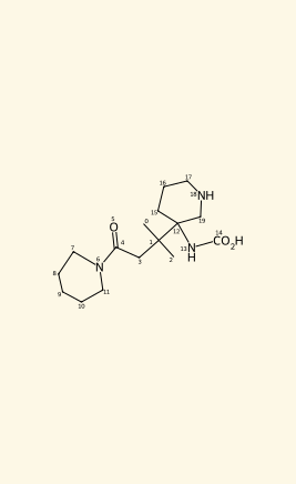 CC(C)(CC(=O)N1CCCCC1)C1(NC(=O)O)CCCNC1